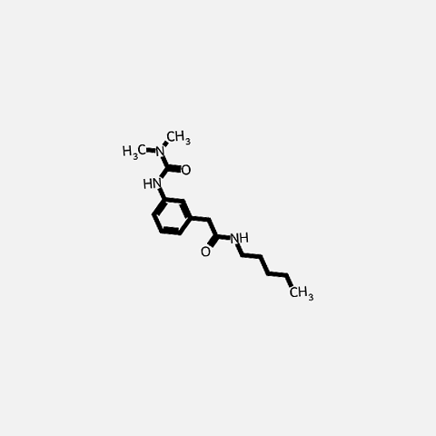 CCCCCNC(=O)Cc1cccc(NC(=O)N(C)C)c1